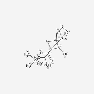 CC(C)C1CC2(C3CCC2CN(C(=O)OC(C)(C)C)C3)C1O